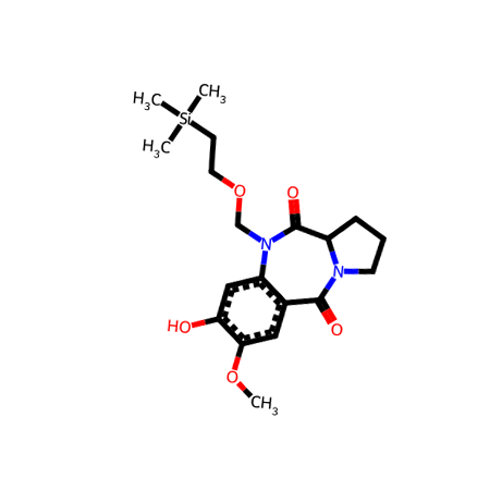 COc1cc2c(cc1O)N(COCC[Si](C)(C)C)C(=O)C1CCCN1C2=O